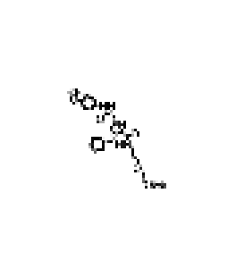 COCCOCCCNC(=O)c1nc(NC(=O)Nc2ccc(OC(F)(F)F)cc2)cn1Cc1ccccc1